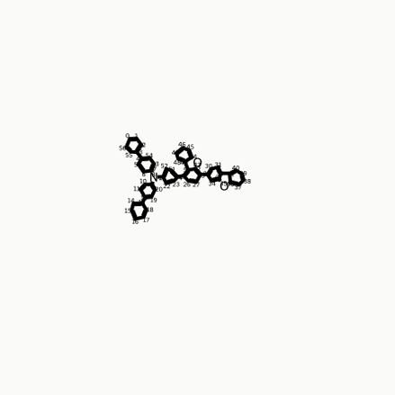 c1ccc(-c2ccc(N(c3ccc(-c4ccccc4)cc3)c3ccc(-c4ccc(-c5ccc6c(c5)oc5ccccc56)c5oc6ccccc6c45)cc3)cc2)cc1